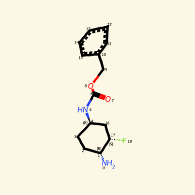 N[C@@H]1CC[C@@H](NC(=O)OCc2ccccc2)C[C@@H]1F